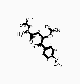 COc1ccc(C(=O)C(CC(=O)N(C)CC(=O)O)SC(C)=O)cc1